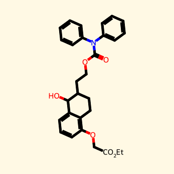 CCOC(=O)COc1cccc2c1CCC(CCOC(=O)N(c1ccccc1)c1ccccc1)C2O